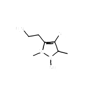 CC1C(N)=C(CCN)N(C)N1N